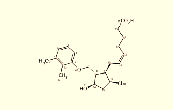 Cc1cccc(OC[C@@H]2[C@@H](C/C=C\CCCC(=O)O)[C@@H](Cl)C[C@H]2O)c1C